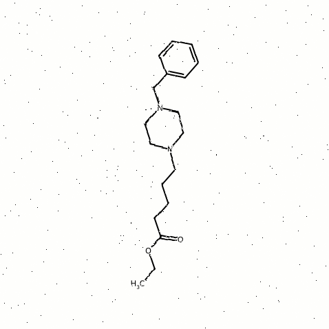 CCOC(=O)CCCCN1CCN(Cc2ccccc2)CC1